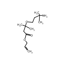 C=CCOC(=O)CC(C)(C)OCCC(C)(C)N